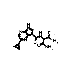 CC(C)C(NC(=O)c1c[nH]c2ncc(C3CC3)nc12)C(N)=O